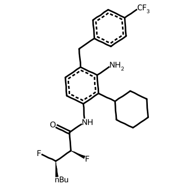 CCCC[C@@H](F)[C@H](F)C(=O)Nc1ccc(Cc2ccc(C(F)(F)F)cc2)c(N)c1C1CCCCC1